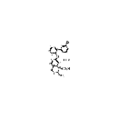 CCc1cccc(-c2ccccc2Oc2ccc3c(c2)C(C(=O)O)C(N)CC3)c1.Cl